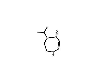 CC(C)N1CCNC=CC1=O